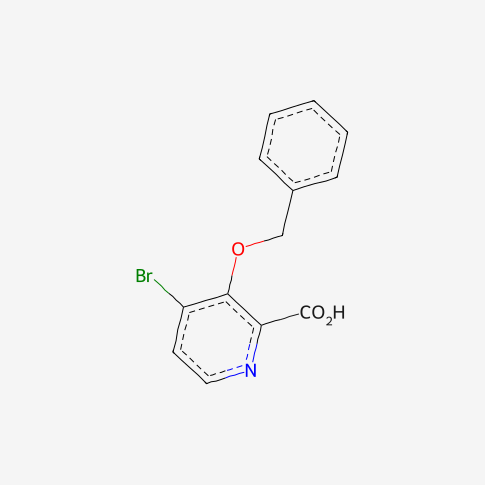 O=C(O)c1nccc(Br)c1OCc1ccccc1